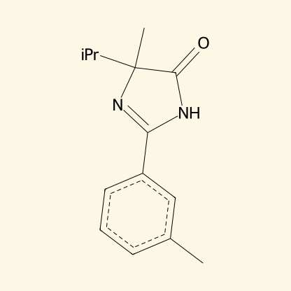 Cc1cccc(C2=NC(C)(C(C)C)C(=O)N2)c1